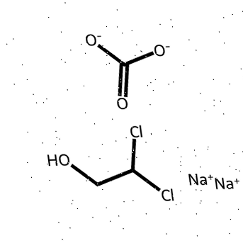 O=C([O-])[O-].OCC(Cl)Cl.[Na+].[Na+]